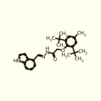 Cc1cc(C(C)(C)C)c(OCC(=O)NN=Cc2cccc3[nH]ccc23)c(C(C)(C)C)c1